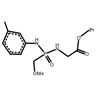 COCP(=O)(NCC(=O)OC(C)C)Nc1cccc(C)c1